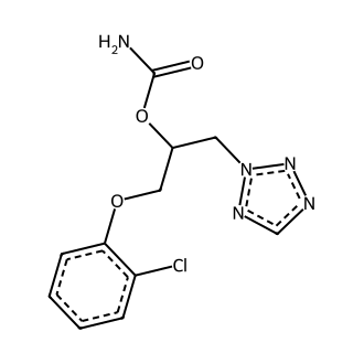 NC(=O)OC(COc1ccccc1Cl)Cn1ncnn1